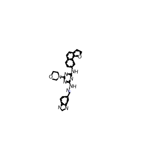 C(=N\Nc1nc(Nc2ccc3ccc4ccoc4c3c2)nc(N2CCOCC2)n1)/c1ccc2c(c1)=NCN=2